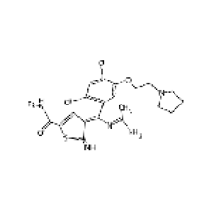 CCNC(=O)C1=C/C(=C(/N=C(\C)N)c2cc(OCCN3CCCC3)c(Cl)cc2Cl)C(=N)S1